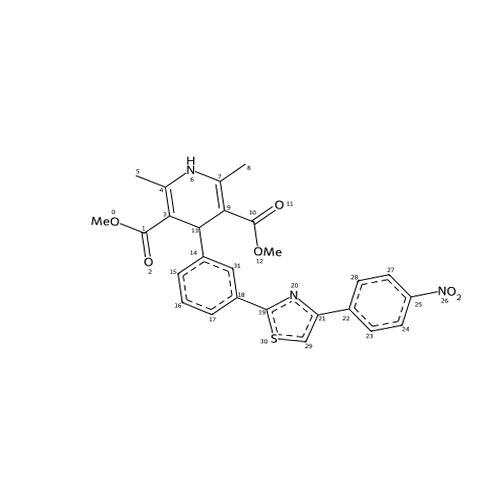 COC(=O)C1=C(C)NC(C)=C(C(=O)OC)C1c1cccc(-c2nc(-c3ccc([N+](=O)[O-])cc3)cs2)c1